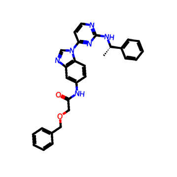 C[C@H](Nc1nccc(-n2cnc3cc(NC(=O)COCc4ccccc4)ccc32)n1)c1ccccc1